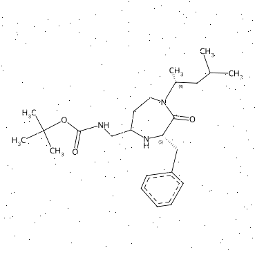 CC(C)C[C@@H](C)N1CCC(CNC(=O)OC(C)(C)C)N[C@@H](Cc2ccccc2)C1=O